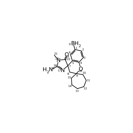 Bc1ccc2c(c1)C1(CC3(CCCCCC3)O2)N=C(N)N(C)C1=O